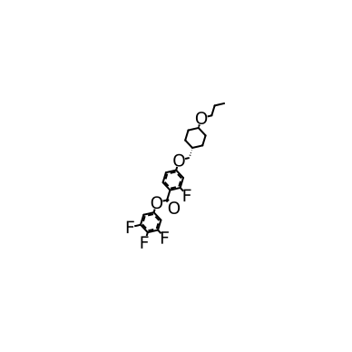 CCCO[C@H]1CC[C@H](COc2ccc(C(=O)Oc3cc(F)c(F)c(F)c3)c(F)c2)CC1